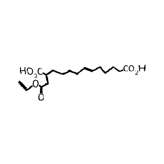 C=COC(=O)CC(CCCCCCCCCCC(=O)O)C(=O)O